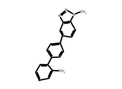 Cc1ccccc1-c1ccc(-c2ccc3c(c2)nnn3C)cc1